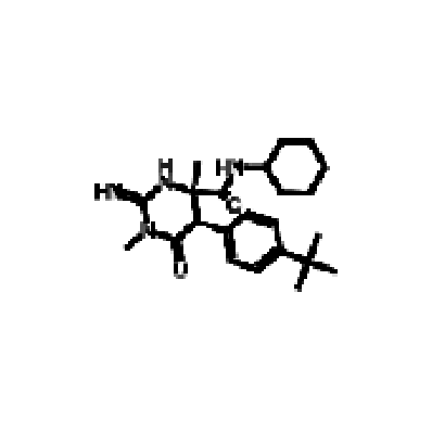 CN1C(=N)N[C@](C)(C(=O)NC2CCCCC2)[C@@H](c2ccc(C(C)(C)C)cc2)C1=O